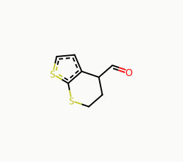 O=CC1CCSc2sccc21